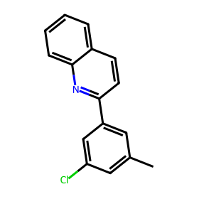 Cc1cc(Cl)cc(-c2ccc3ccccc3n2)c1